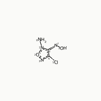 Nn1onc(Cl)c1=NO